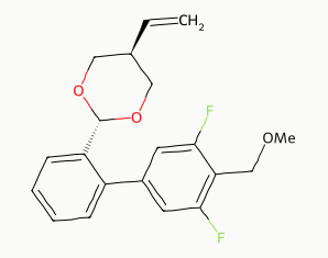 C=C[C@H]1CO[C@H](c2ccccc2-c2cc(F)c(COC)c(F)c2)OC1